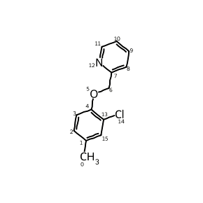 Cc1ccc(OCc2ccccn2)c(Cl)c1